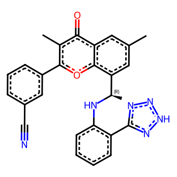 Cc1cc([C@@H](C)Nc2ccccc2-c2nn[nH]n2)c2oc(-c3cccc(C#N)c3)c(C)c(=O)c2c1